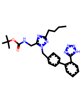 CCCCc1nc(CNC(=O)OC(C)(C)C)n(Cc2ccc(-c3ccccc3-c3nnn[nH]3)cc2)n1